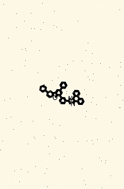 C1=CC(C2C=Cc3oc4c(-c5cccc(-c6cnc7c8ccccc8c8ccccc8c7n6)c5)cc(-c5ccccc5)cc4c3C2)=CCC1